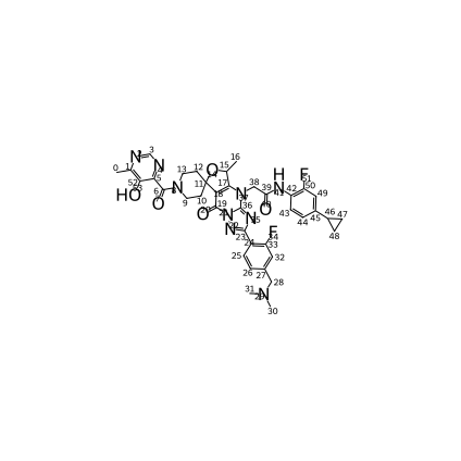 Cc1ncnc(C(=O)N2CCC3(CC2)OC(C)c2c3c(=O)n3nc(-c4ccc(CN(C)C)cc4F)nc3n2CC(=O)Nc2ccc(C3CC3)cc2F)c1O